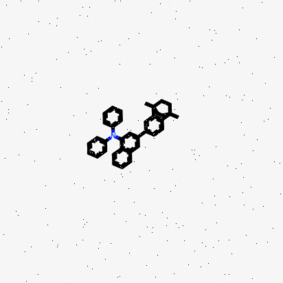 CC12CCC(C)(CC1)c1cc(-c3cc(N(c4ccccc4)c4ccccc4)c4ccccc4c3)ccc12